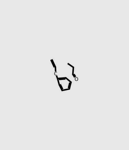 C=CCc1ccccc1.CCC=O